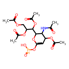 CC(=O)NC1C(OC(C)=O)C=C(O[PH](=O)O)OC1C(OC(C)=O)C(COC(C)=O)OC(C)=O